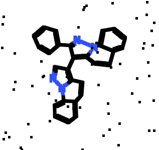 c1ccc(-c2nn3c(ccc4ccccc43)c2-c2cnn3c2ccc2ccccc23)cc1